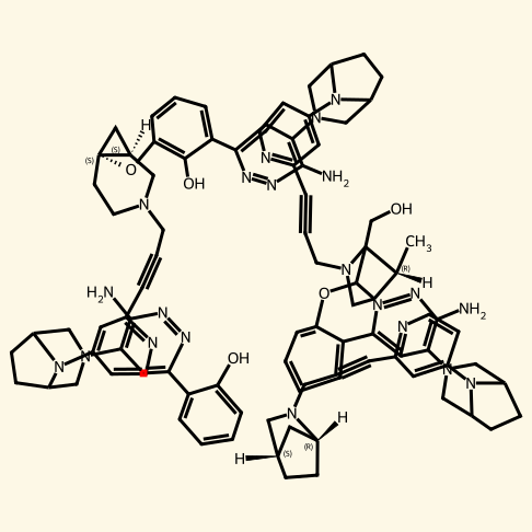 C[C@@H]1C2CN(CC#Cc3cc(N4C5CCC4CN(c4cc(-c6cccc(O[C@@]78CCN(CC#Cc9cc(N%10C%11CCC%10CN(c%10cc(-c%12ccccc%12O)nnc%10N)C%11)ccn9)C[C@@H]7C8)c6O)nnc4N)C5)ccn3)C1(CO)C2Oc1ccccc1-c1cc(N2CC3CCC(C2)N3c2ccnc(C#CCN3C[C@H]4CC[C@@H]3C4)c2)c(N)nn1